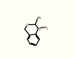 CC(C)C1OCc2ccccc2[C@@H]1N